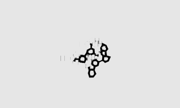 CC(C)(C)c1ccc2c(c1)c1cc(C(C)(C)C)cc3c1n2-c1c2c(cc4c1oc1ccccc14)-c1cccc4c5ccccc5n(c14)B23